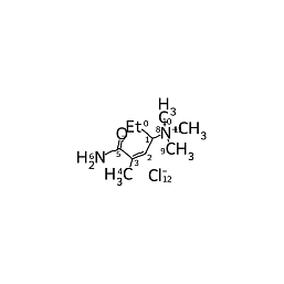 CCC(C=C(C)C(N)=O)[N+](C)(C)C.[Cl-]